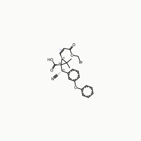 CC1(C)[C@H](/C=C\C(=O)OCBr)[C@@]1(C(=O)O)[C@@H](C#N)c1cccc(Oc2ccccc2)c1